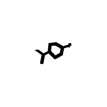 [CH2]C(=C)c1ccc(F)cc1